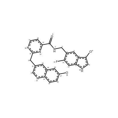 O=C(NCc1cc2c(Cl)c[nH]c2cc1F)c1ccnc(Cc2cnc3ccc(Cl)cc3c2)n1